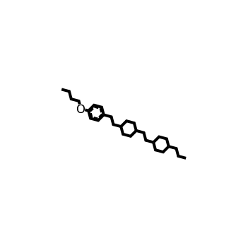 CCCCOc1ccc(CCC2CCC(CCC3CCC(CCC)CC3)CC2)cc1